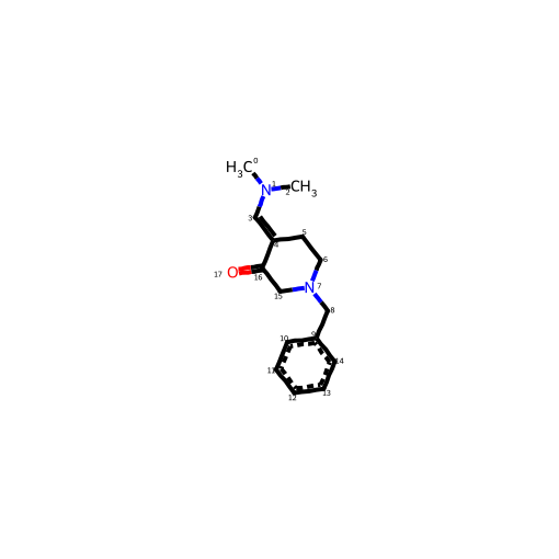 CN(C)C=C1CCN(Cc2ccccc2)CC1=O